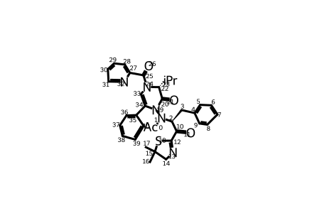 CC(=O)N([C@@H](Cc1ccccc1)C(=O)C1=NCC(C)(C)S1)N1C(=O)[C@@H](C(C)C)N(C(=O)c2ccccn2)C=C1c1ccccc1